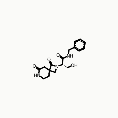 O=C1CC2(CCN1)CN([C@@H](CO)C(=O)NCc1ccccc1)C2=O